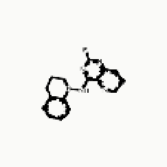 Fc1nc(NN2CCCc3ccccc32)c2ncccc2n1